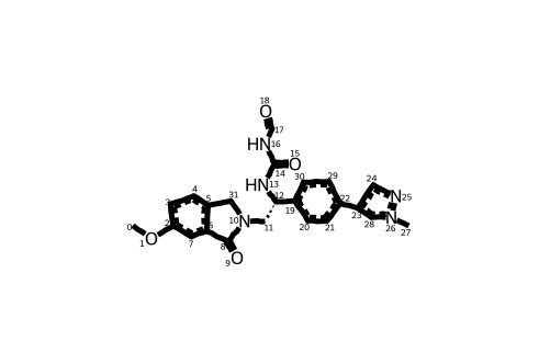 COc1ccc2c(c1)C(=O)N(C[C@H](NC(=O)NC=O)c1ccc(-c3cnn(C)c3)cc1)C2